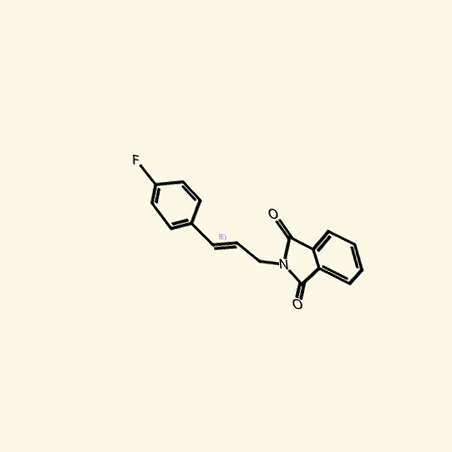 O=C1c2ccccc2C(=O)N1C/C=C/c1ccc(F)cc1